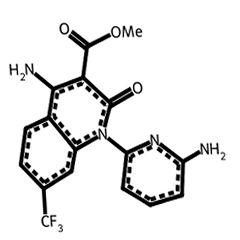 COC(=O)c1c(N)c2ccc(C(F)(F)F)cc2n(-c2cccc(N)n2)c1=O